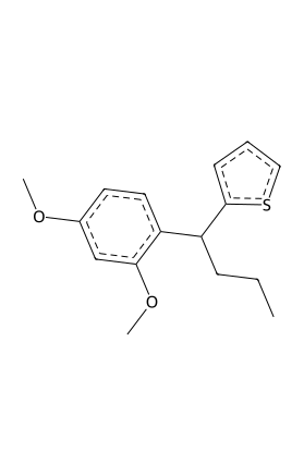 CCCC(c1cccs1)c1ccc(OC)cc1OC